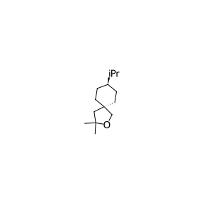 CC(C)[C@H]1CC[C@]2(CC1)COC(C)(C)C2